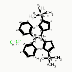 C[Si](C)(C)C1=CC[C]([Zr+2]([C]2=CC([Si](C)(C)C)=CC2)[SiH](c2ccccc2)c2ccccc2)=C1.[Cl-].[Cl-]